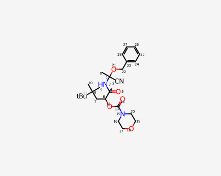 CC(C#N)(NC(=O)C(CC(C)(C)C(C)(C)C)OC(=O)N1CCOCC1)OCc1ccccc1